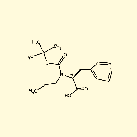 CCCN(C(=O)OC(C)(C)C)[C@@H](Cc1ccccc1)C(=O)O